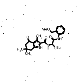 CCCCC(NC(=O)c1[nH]c2c(c1C)C(=O)CC(C)(C)C2)C(=O)Nc1ccccc1COC